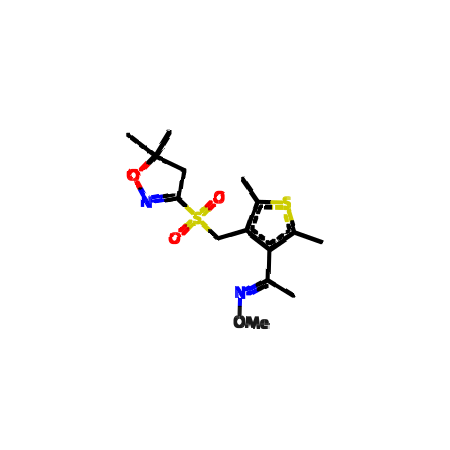 CO/N=C(\C)c1c(C)sc(C)c1CS(=O)(=O)C1=NOC(C)(C)C1